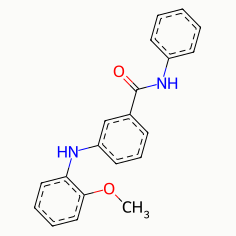 COc1ccccc1Nc1cccc(C(=O)Nc2ccccc2)c1